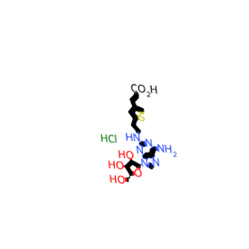 Cl.Nc1nc(NCCc2cc(C=CC(=O)O)cs2)nc2c1ncn2[C@@H]1O[C@H](CO)[C@@H](O)[C@H]1O